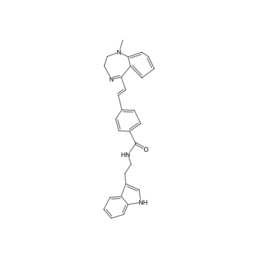 CN1CCN=C(C=Cc2ccc(C(=O)NCCc3c[nH]c4ccccc34)cc2)c2ccccc21